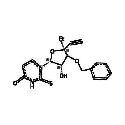 C#C[C@]1(CC)O[C@@H](n2ccc(=O)[nH]c2=S)[C@@H](O)C1OCc1ccccc1